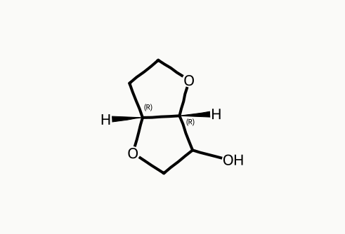 OC1CO[C@@H]2CCO[C@H]12